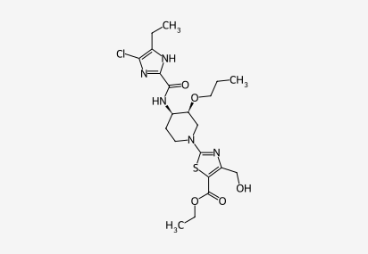 CCCO[C@H]1CN(c2nc(CO)c(C(=O)OCC)s2)CC[C@H]1NC(=O)c1nc(Cl)c(CC)[nH]1